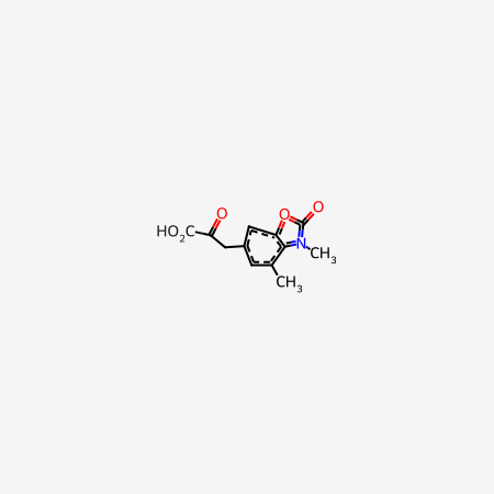 Cc1cc(CC(=O)C(=O)O)cc2oc(=O)n(C)c12